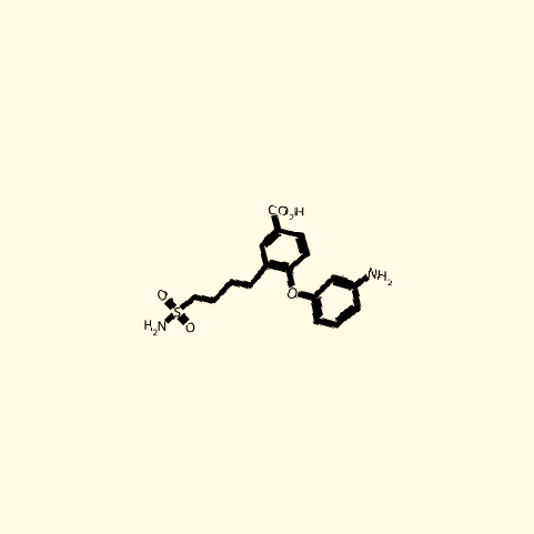 Nc1cccc(Oc2ccc(C(=O)O)cc2CCCCS(N)(=O)=O)c1